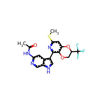 CSc1cc2c(c(-c3c[nH]c4cnc(NC(C)=O)cc34)n1)OCC(C(F)(F)F)O2